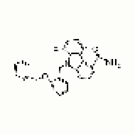 NC(=O)c1cccc2c1c1[c]ccc(F)c1n2Cc1ccccc1OCc1ccccc1